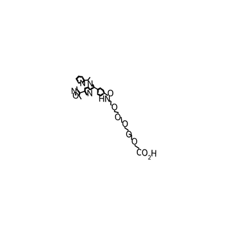 Cc1noc(C)c1-c1cnc2c(-c3ccc(C(=O)NCCOCCOCCOCCOCCOCCC(=O)O)cc3)cn(C(C)c3ccccn3)c2c1